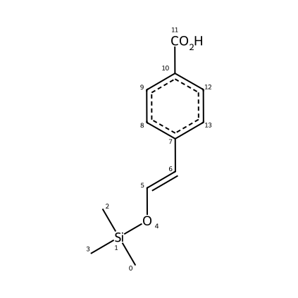 C[Si](C)(C)OC=Cc1ccc(C(=O)O)cc1